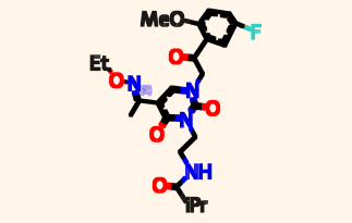 CCO/N=C(\C)c1cn(CC(=O)c2cc(F)ccc2OC)c(=O)n(CCNC(=O)C(C)C)c1=O